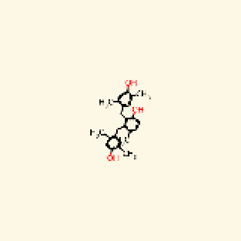 Cc1cc(Cc2c(C)ccc(O)c2Cc2cc(C)c(O)cc2C)c(C)cc1O